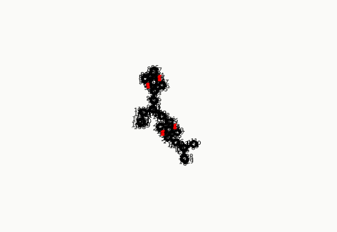 c1ccc(-c2cc(-c3ccccc3)nc(-c3ccc(-c4cccc5c4-c4ccccc4C54c5ccccc5C5(c6ccccc6-c6c(-c7ccc(-c8nc(-c9ccc(-c%10ccc%11c(c%10)-c%10ccccc%10C%11%10c%11ccccc%11C%11(c%12ccccc%12-c%12ccccc%12%11)c%11ccccc%11%10)cc9)cc(-c9cccc(-c%10ccccn%10)c9)n8)cc7)cccc65)c5ccccc54)cc3)n2)cc1